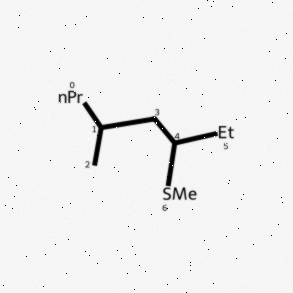 CCCC(C)CC(CC)SC